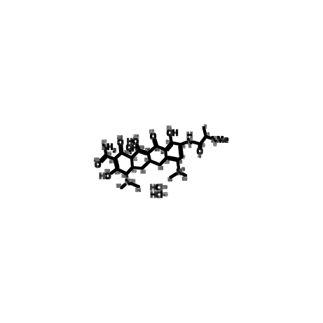 CNC(C)C(=O)Nc1cc(N(C)C)c2c(c1O)C(=O)C1=C(O)[C@]3(O)C(=O)C(C(N)=O)=C(O)[C@@H](N(C)C)C3CC1C2.Cl.Cl